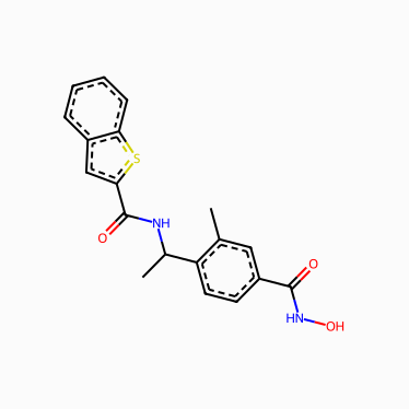 Cc1cc(C(=O)NO)ccc1C(C)NC(=O)c1cc2ccccc2s1